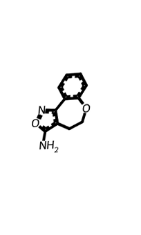 Nc1onc2c1CCOc1ccccc1-2